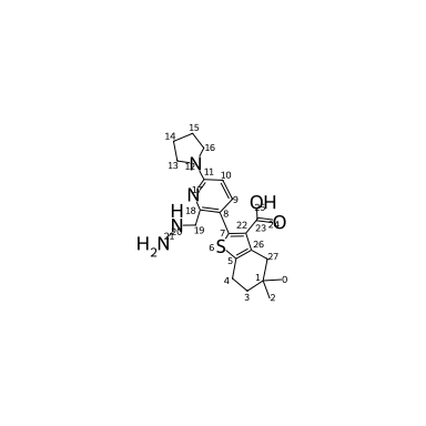 CC1(C)CCc2sc(-c3ccc(N4CCCC4)nc3CNN)c(C(=O)O)c2C1